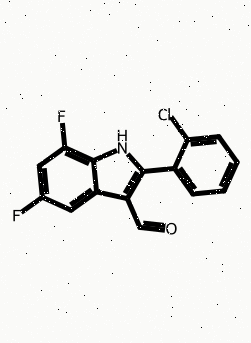 O=Cc1c(-c2ccccc2Cl)[nH]c2c(F)cc(F)cc12